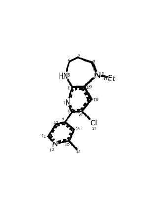 CCN1CCCNc2nc(-c3ccnc(C)c3)c(Cl)cc21